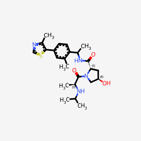 Cc1cc(-c2scnc2C)ccc1C(C)NC(=O)[C@@H]1C[C@@H](O)CN1C(=O)[C@H](C)NC(C)C